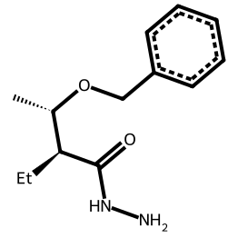 CC[C@H](C(=O)NN)[C@H](C)OCc1ccccc1